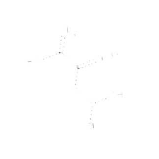 C=C(C)C(=O)OC(C)C.O